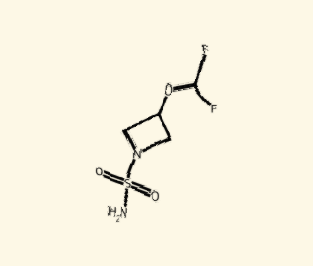 NS(=O)(=O)N1CC(OC(F)F)C1